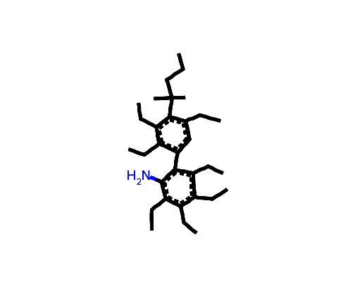 CCCC(C)(C)c1c(CC)cc(-c2c(N)c(CC)c(CC)c(CC)c2CC)c(CC)c1CC